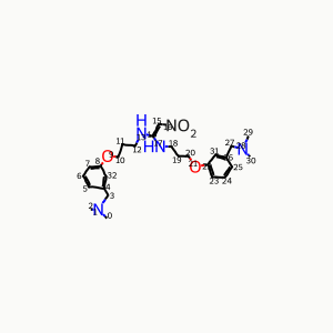 CN(C)Cc1cccc(OCCCNC(=C[N+](=O)[O-])NCCCOc2cccc(CN(C)C)c2)c1